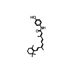 CC1=C(/C=C/C(C)=C\C=C\C(C)=C\C(=O)Nc2ccc(O)cc2)C(C)(C)CCC1